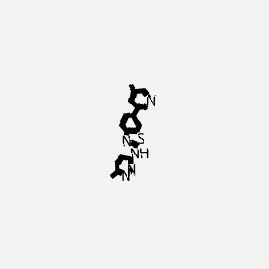 Cc1cncc(-c2ccc3nc(Nc4ccc(C)nn4)sc3c2)c1